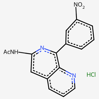 CC(=O)Nc1cc2cccnc2c(-c2cccc([N+](=O)[O-])c2)n1.Cl